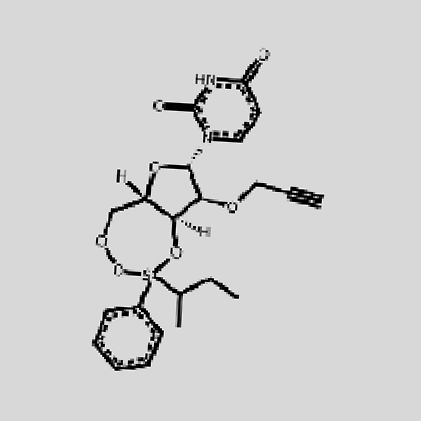 C#CCO[C@H]1[C@H]2O[Si](c3ccccc3)(C(C)CC)OOC[C@@H]2O[C@@H]1n1ccc(=O)[nH]c1=O